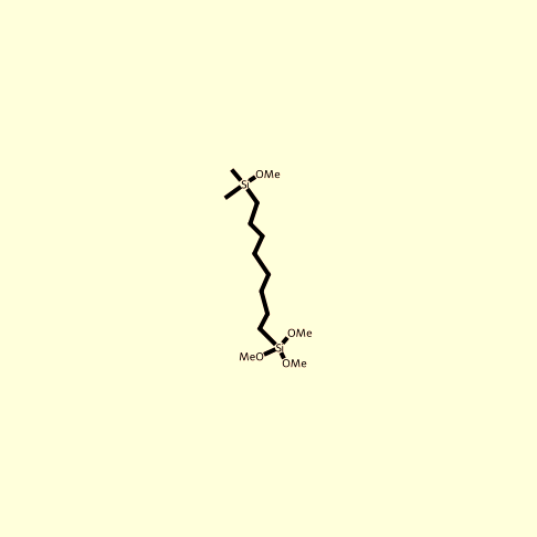 CO[Si](C)(C)CCCCCCCC[Si](OC)(OC)OC